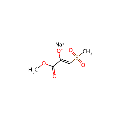 COC(=O)C([O-])=CS(C)(=O)=O.[Na+]